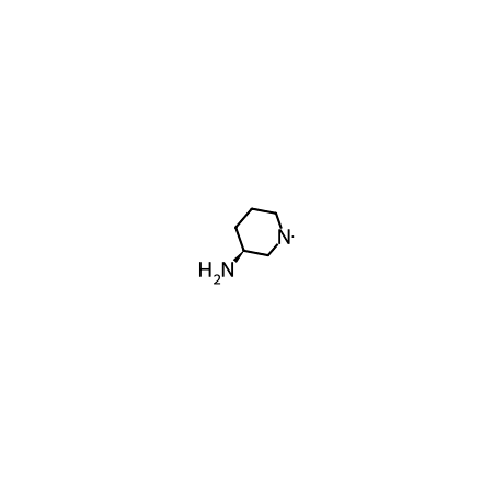 N[C@H]1CCC[N]C1